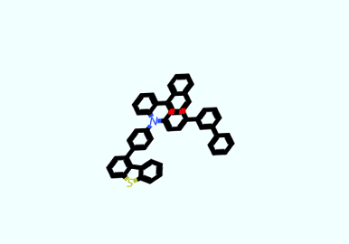 c1ccc(-c2cccc(-c3ccc(N(c4ccc(-c5cccc6sc7ccccc7c56)cc4)c4ccccc4-c4cccc5ccccc45)cc3)c2)cc1